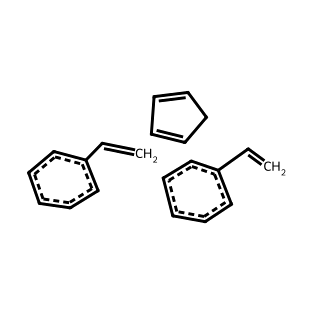 C1=CCC=C1.C=Cc1ccccc1.C=Cc1ccccc1